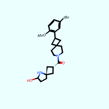 COc1ccc(C(C)(C)C)cc1C1CC2(CCN(C(=O)[C@H]3C[C@]4(CCC(O)N4)C3)CC2)C1